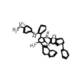 Cc1cc(-c2ccccc2Nc2ccc(N(C)C)cc2)c2c3c1c1ccc4ccccc4c1n3-c1c(oc3ccc(-c4ccccc4)cc13)B2